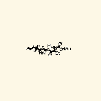 C=CCC(C)(C)c1nnc(NC(=O)C(CC)NC(=O)OC(C)(C)C)s1